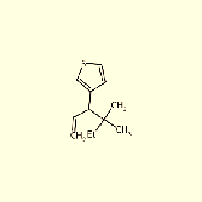 C=CC(c1ccsc1)C(C)(C)CC